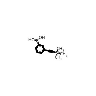 C[Si](C)(C)C#Cc1cccc(B(O)O)c1